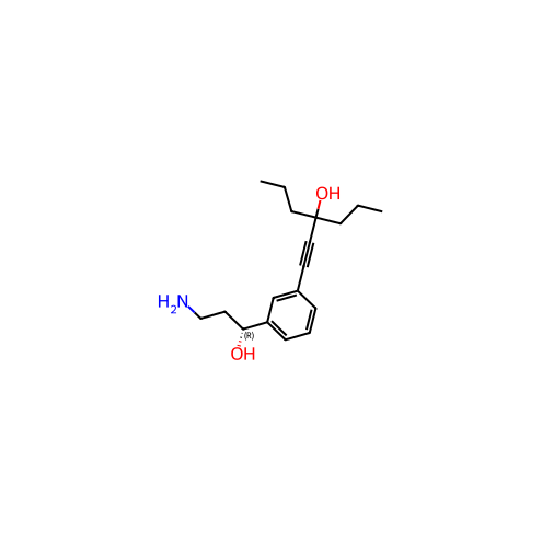 CCCC(O)(C#Cc1cccc([C@H](O)CCN)c1)CCC